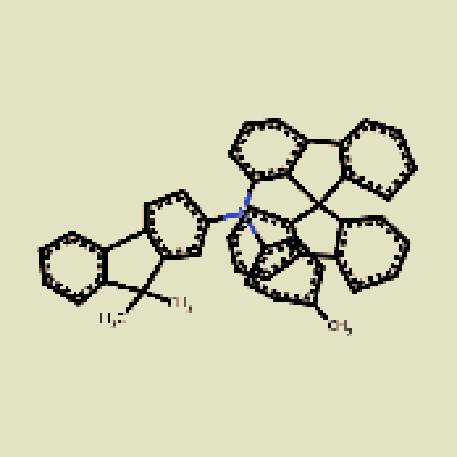 Cc1ccc(N(c2ccc3c(c2)C(C)(C)c2ccccc2-3)c2cccc3c2C2(c4ccccc4-c4ccccc42)c2ccccc2-3)cc1